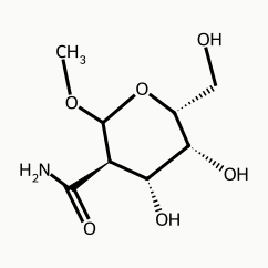 COC1O[C@H](CO)[C@H](O)[C@H](O)[C@H]1C(N)=O